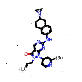 C=CCn1c(=O)c2cnc(Nc3ccc4c(c3)CCC(N3CC3)C4)nc2n1-c1ccnc(C(C)(C)C)c1